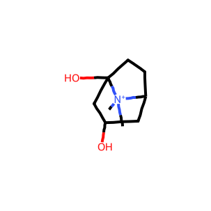 C[N+]1(C)C2CCC1(O)CC(O)C2